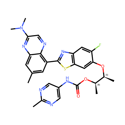 Cc1cc(-c2nc3cc(F)c(O[C@@H](C)[C@@H](C)OC(=O)Nc4cnc(C)nc4)cc3s2)c2ncc(N(C)C)nc2c1